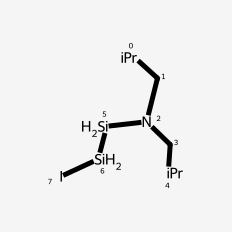 CC(C)CN(CC(C)C)[SiH2][SiH2]I